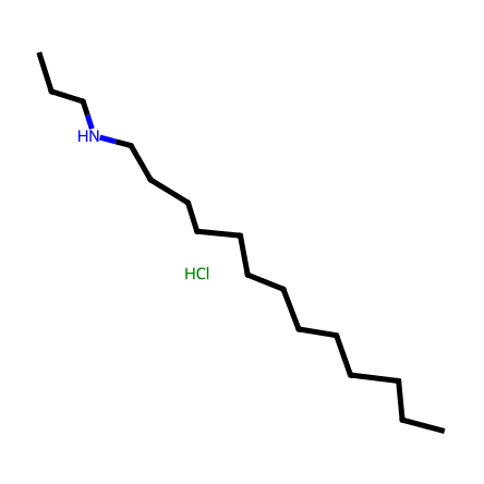 CCCCCCCCCCCCCNCCC.Cl